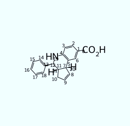 O=C(O)c1ccc2c(c1)[C@@H]1C=CC[C@@H]1[C@@H](c1ccccc1)N2